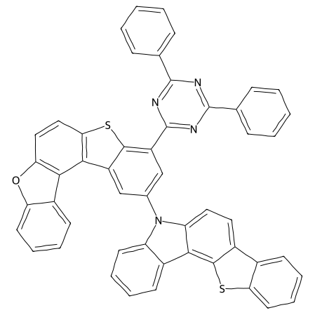 c1ccc(-c2nc(-c3ccccc3)nc(-c3cc(-n4c5ccccc5c5c6sc7ccccc7c6ccc54)cc4c3sc3ccc5oc6ccccc6c5c34)n2)cc1